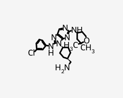 CC1(C)CC(Nc2ncc3nc(Nc4cccc(Cl)c4)n([C@H]4CC[C@H](CN)CC4)c3n2)CCO1